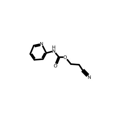 N#CCCOC(=O)Nc1ccccn1